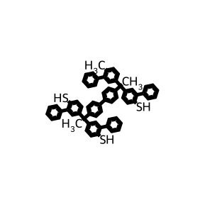 Cc1ccc(C(C)(c2ccc(-c3ccc(C(C)(c4ccc(S)c(-c5ccccc5)c4)c4ccc(S)c(-c5ccccc5)c4)cc3)cc2)c2ccc(S)c(-c3ccccc3)c2)cc1-c1ccccc1